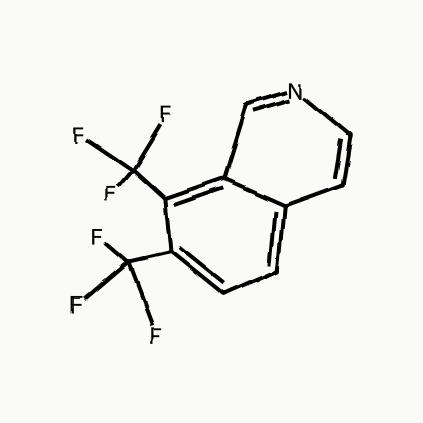 FC(F)(F)c1ccc2ccncc2c1C(F)(F)F